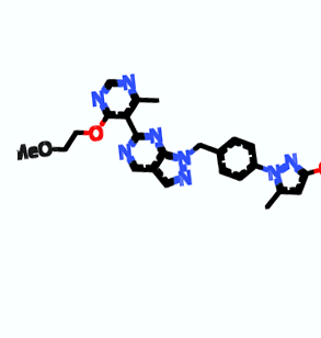 COCCOc1ncnc(C)c1-c1ncc2cnn(Cc3ccc(-n4nc(O)cc4C)cc3)c2n1